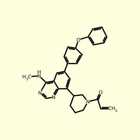 C=CC(=O)N1CCCC(c2cc(-c3ccc(Oc4ccccc4)cc3)cc3c(NC)ncnc23)C1